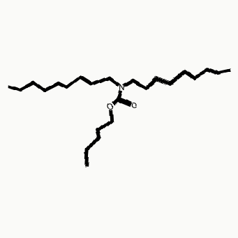 CCCCCCCCCN(CCCCCCCCC)C(=O)OCCCCC